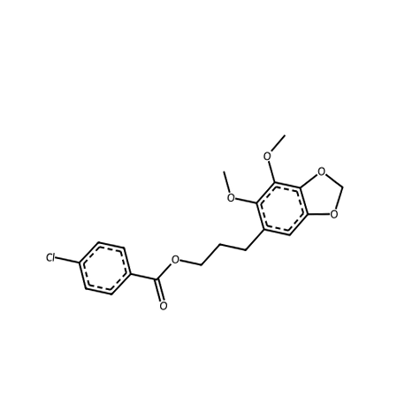 COc1c(CCCOC(=O)c2ccc(Cl)cc2)cc2c(c1OC)OCO2